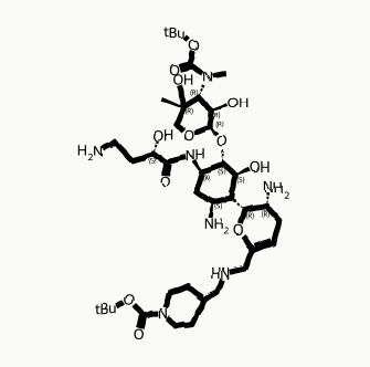 CN(C(=O)OC(C)(C)C)[C@@H]1[C@@H](O)[C@@H](O[C@H]2[C@H](NC(=O)[C@@H](O)CCN)C[C@H](N)C([C@H]3OC(CNCC4CCN(C(=O)OC(C)(C)C)CC4)=CC[C@H]3N)[C@@H]2O)OC[C@]1(C)O